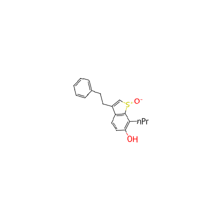 CCCc1c(O)ccc2c(CCc3ccccc3)c[s+]([O-])c12